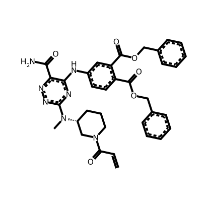 C=CC(=O)N1CCC[C@@H](N(C)c2nnc(C(N)=O)c(Nc3ccc(C(=O)OCc4ccccc4)c(C(=O)OCc4ccccc4)c3)n2)C1